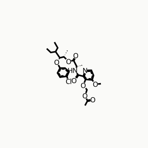 CCC(CC)[C@@H](Oc1ccc(Cl)cc1)[C@H](C)OC(=O)[C@H](C)NC(=O)c1nccc(OC)c1OCOC(C)=O